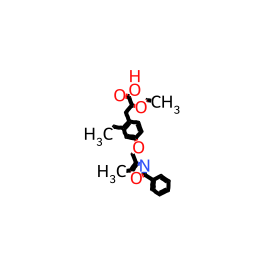 CCOC(Cc1ccc(OCc2nc(-c3ccccc3)oc2C)cc1CC)C(=O)O